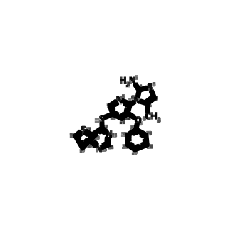 CC1=CSC(N)N1c1ncc(Sc2ncnc3ccsc23)cc1Oc1ccccc1